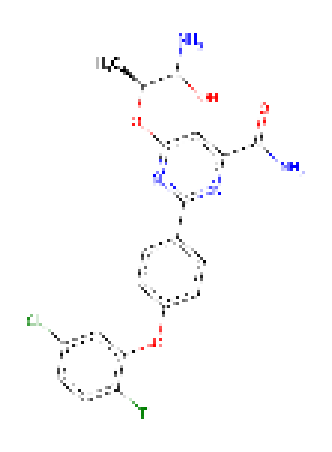 C[C@H](Oc1cc(C(N)=O)nc(-c2ccc(Oc3cc(Cl)ccc3F)cc2)n1)C(N)O